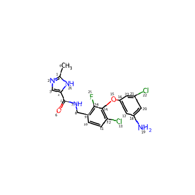 Cc1ncc(C(=O)NCc2ccc(Cl)c(Oc3cc(N)cc(Cl)c3)c2F)[nH]1